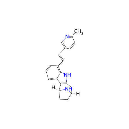 Cc1ccc(C=Cc2cccc3c4c([nH]c23)C[C@H]2CC[C@@H]4N2)cn1